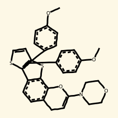 COc1ccc(C2(c3ccc(OC)cc3)C=CCC34SC=CC32Sc2c4ccc3c2OC(N2CCOCC2)=CC3)cc1